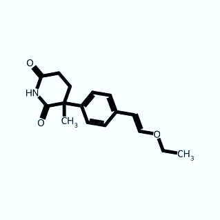 CCOC=Cc1ccc(C2(C)CCC(=O)NC2=O)cc1